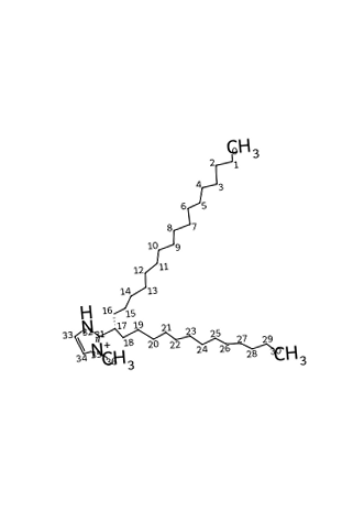 CCCCCCCCCCCCCCCCC[C@H](CCCCCCCCCCCCC)c1[nH]cc[n+]1C